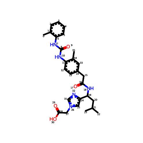 Cc1ccccc1NC(=O)Nc1ccc(CC(=O)NC(CC(C)C)c2cn(CC(=O)O)cn2)cc1C